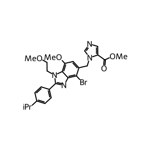 COCCn1c(-c2ccc(C(C)C)cc2)nc2c(Br)c(Cn3cncc3C(=O)OC)cc(OC)c21